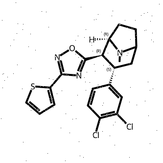 CN1C2CC[C@@H]1[C@H](c1nc(-c3cccs3)no1)[C@@H](c1ccc(Cl)c(Cl)c1)C2